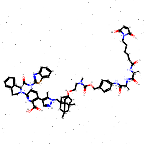 Cc1c(-c2ccc(N3CCc4ccccc4[C@H]3C(=O)Nc3nc4ccccc4s3)nc2C(=O)O)cnn1CC12CC3(C)CC(C)(C1)CC(OCCN(C)C(=O)OCc1ccc(NC(=O)[C@H](C)NC(=O)[C@H](C)NC(=O)CCCCCN4C(=O)C=CC4=O)cc1)(C3)C2